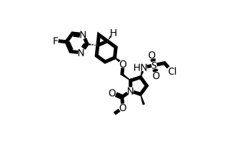 COC(=O)N1[C@H](C)C[C@H](NS(=O)(=O)CCl)[C@@H]1CO[C@H]1CC[C@@]2(c3ncc(F)cn3)C[C@H]2C1